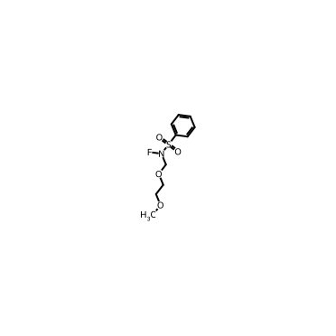 COCCOCN(F)S(=O)(=O)c1ccccc1